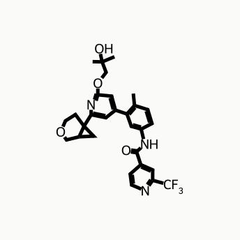 Cc1ccc(NC(=O)c2ccnc(C(F)(F)F)c2)cc1-c1cc(OCC(C)(C)O)nc(C23CCOCC2C3)c1